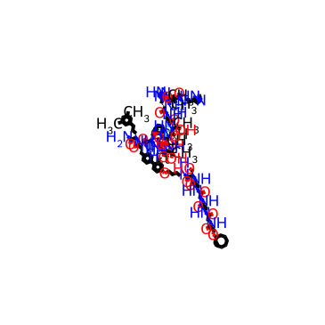 CCc1cc(OCCCCNC(=O)[C@@H](CO)NC(=O)CNC(=O)CNC(=O)CNC(=O)CNC(=O)COC2C#CCCCCC2)ccc1-c1ccc(C[C@H](NC(=O)[C@H](CC(=O)O)NC(=O)[C@H](CO)NC(=O)[C@@H](NC(=O)C(C)(Cc2ccccc2F)NC(=O)[C@@H](NC(=O)CNC(=O)[C@H](Cc2nn[nH]n2)NC(=O)C(C)(C)C(=O)NCCc2cnc[nH]2)[C@@H](C)O)[C@@H](C)O)C(=O)N[C@@H](CCCc2cc(C)cc(C)c2)C(N)=O)cc1